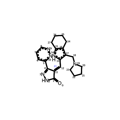 O=C1NN=C(c2cccnn2)/C1=C\c1[nH]c2c(c1CN1CCCC1)CCCC2